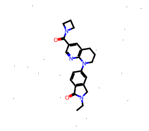 CCN1Cc2cc(N3CCCc4cc(C(=O)N5CCC5)cnc43)ccc2C1=O